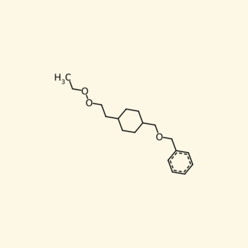 CCOOCCC1CCC(COCc2ccccc2)CC1